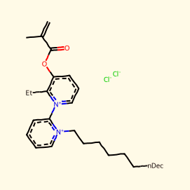 C=C(C)C(=O)Oc1ccc[n+](-c2cccc[n+]2CCCCCCCCCCCCCCCC)c1CC.[Cl-].[Cl-]